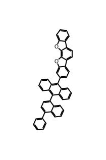 c1ccc(-c2ccc(-c3c4ccccc4c(-c4ccc5c(c4)oc4c5ccc5c6ccccc6oc54)c4ccccc34)c3ccccc23)cc1